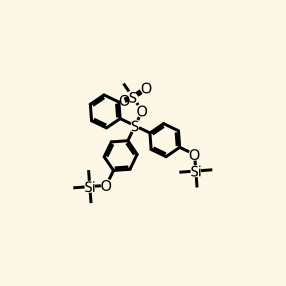 C[Si](C)(C)Oc1ccc(S(OS(C)(=O)=O)(c2ccccc2)c2ccc(O[Si](C)(C)C)cc2)cc1